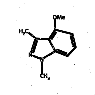 COc1cccc2c1c(C)nn2C